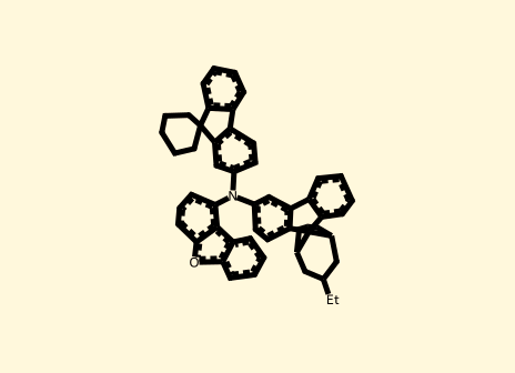 CCC1CC2CCCC(C1)C21c2ccccc2-c2cc(N(c3ccc4c(c3)C3(CCCCC3)c3ccccc3-4)c3cccc4oc5ccccc5c34)ccc21